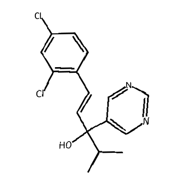 CC(C)C(O)(/C=C/c1ccc(Cl)cc1Cl)c1cncnc1